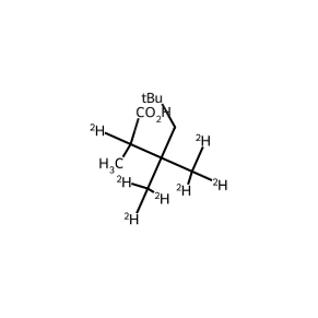 [2H]C([2H])([2H])C(CC(C)(C)C)(C([2H])([2H])[2H])C([2H])(C)C(=O)O